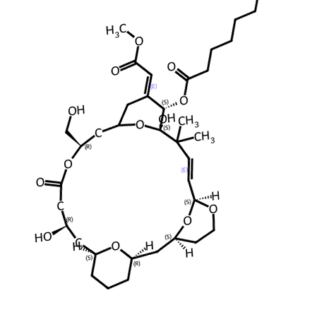 CCCCCCCC(=O)O[C@H]1/C(=C/C(=O)OC)CC2C[C@H](CO)OC(=O)C[C@H](O)C[C@@H]3CCC[C@H](C[C@@H]4CCO[C@H](/C=C/C(C)(C)[C@]1(O)O2)O4)O3